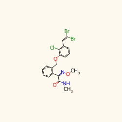 CNC(=O)C(=NOC)c1ccccc1COc1cccc(C=C(Br)Br)c1Cl